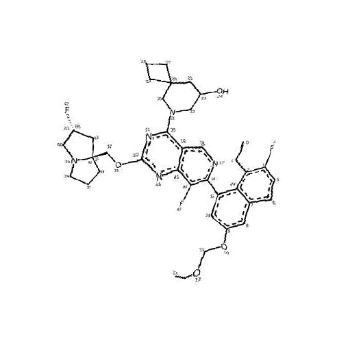 CCc1c(F)ccc2cc(OCOC)cc(-c3ncc4c(N5CC(O)CC6(CCC6)C5)nc(OC[C@@]56CCCN5C[C@H](F)C6)nc4c3F)c12